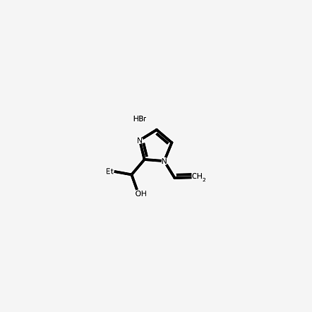 Br.C=Cn1ccnc1C(O)CC